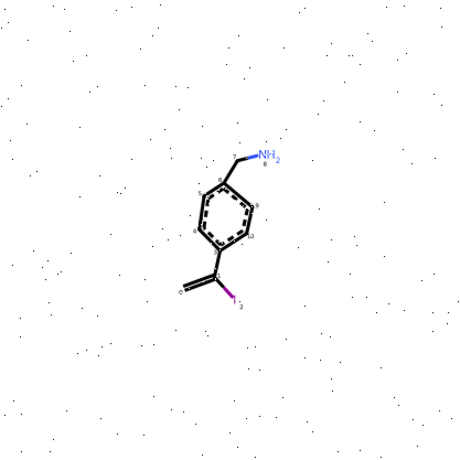 C=C(I)c1ccc(CN)cc1